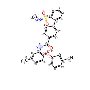 CC(C)(C)NS(=O)(=O)c1ccccc1-c1ccc(C(=O)Nc2cc(C(F)(F)F)ccc2Oc2cccc(C#N)c2)cc1